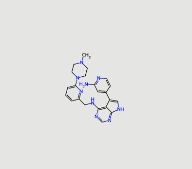 CN1CCN(c2cccc(CNc3ncnc4[nH]cc(-c5ccnc(N)c5)c34)n2)CC1